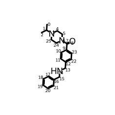 CC(C)N1CCN(C(=O)c2ccc(CNCc3ccccc3)cc2)CC1